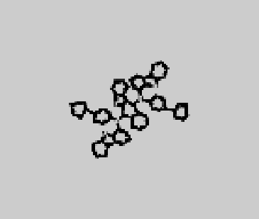 c1ccc(-c2ccc(N(c3cccc4c3oc3ccccc34)c3c4ccccc4c(N(c4ccc(-c5ccccc5)cc4)c4cccc5c4oc4ccccc45)c4c3sc3ccccc34)cc2)cc1